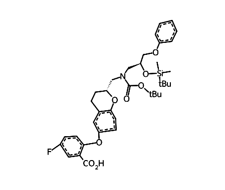 CC(C)(C)OC(=O)N(C[C@H]1CCc2cc(Oc3ccc(F)cc3C(=O)O)ccc2O1)C[C@@H](COc1ccccc1)O[Si](C)(C)C(C)(C)C